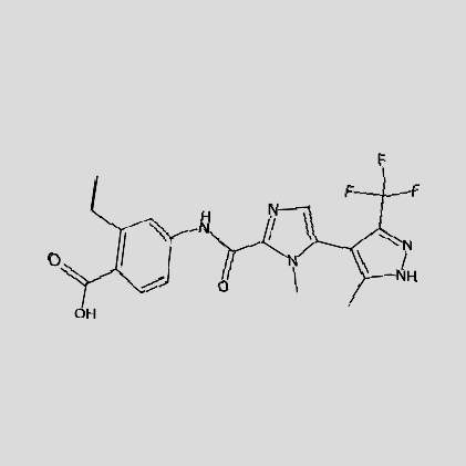 CCc1cc(NC(=O)c2ncc(-c3c(C(F)(F)F)n[nH]c3C)n2C)ccc1C(=O)O